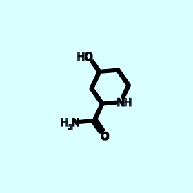 NC(=O)C1CC(O)CCN1